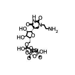 NCCn1cc([C@@H]2O[C@H](COP(=O)(O)OP(=O)(O)OP(=O)(O)O)[C@@H](O)[C@H]2O)c(=O)[nH]c1=O